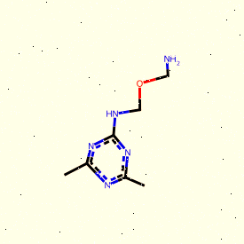 Cc1nc(C)nc(NCOCN)n1